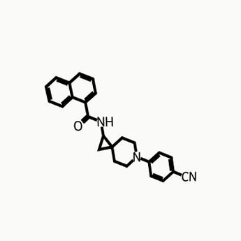 N#Cc1ccc(N2CCC3(CC2)CC3NC(=O)c2cccc3ccccc23)cc1